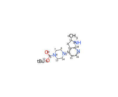 CC1Cc2c(N3CCN(C(=O)OC(C)(C)C)CC3)ccnc2N1